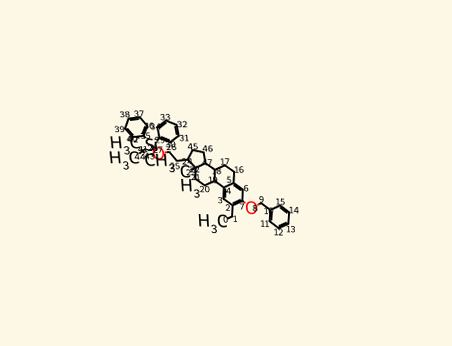 CCc1cc2c(cc1OCc1ccccc1)CCC1C2CCC2(C)C(CCO[Si](c3ccccc3)(c3ccccc3)C(C)(C)C)CCC12